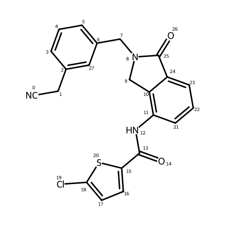 N#CCc1cccc(CN2Cc3c(NC(=O)c4ccc(Cl)s4)cccc3C2=O)c1